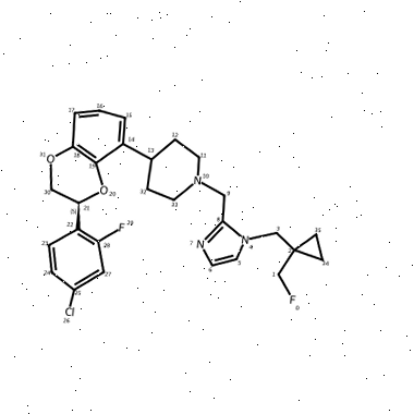 FCC1(Cn2ccnc2CN2CCC(c3cccc4c3O[C@@H](c3ccc(Cl)cc3F)CO4)CC2)CC1